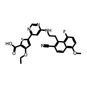 CCOc1cc(-c2cc(NCCc3c(C#N)ccc4c(OC)ccc(F)c34)ncn2)sc1C(=O)O